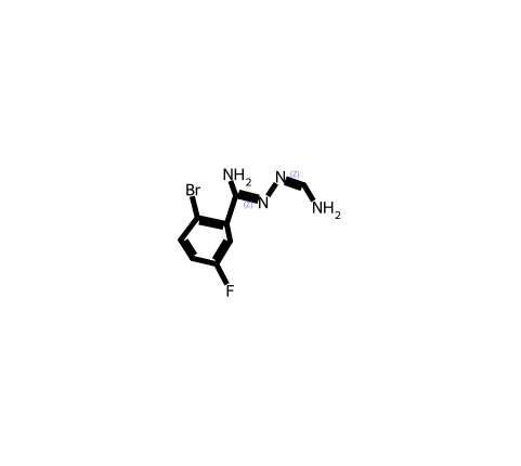 N/C=N\N=C(/N)c1cc(F)ccc1Br